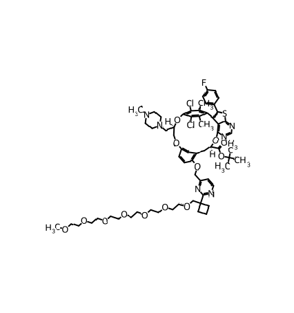 COCCOCCOCCOCCOCCOCCOCC1(c2nccc(COc3ccc4cc3C[C@H](C(=O)OC(C)(C)C)Oc3ncnc5sc(-c6ccc(F)cc6)c(c35)-c3c(C)c(Cl)c(c(Cl)c3C)O[C@H](CN3CCN(C)CC3)CO4)n2)CCC1